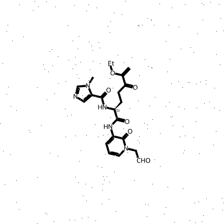 C=C(OCC)C(=O)CC[C@H](NC(=O)c1cncn1C)C(=O)Nc1cccn(CC=O)c1=O